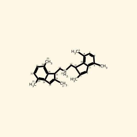 CC1=Cc2c(C)ccc(C)c2C1C[SiH2]CC1C(C)=Cc2c(C)ccc(C)c21